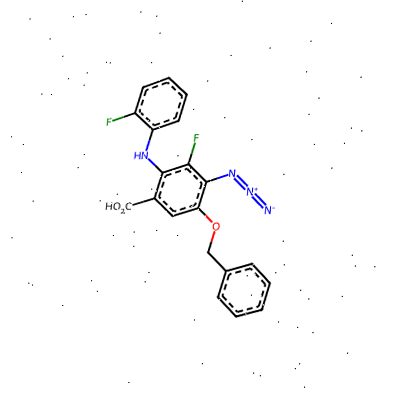 [N-]=[N+]=Nc1c(OCc2ccccc2)cc(C(=O)O)c(Nc2ccccc2F)c1F